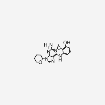 COc1c(O)cccc1Nc1nc(N)nc2c1ncn2C1CCCCO1